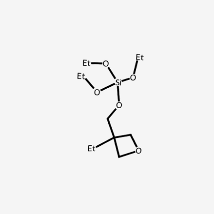 CCO[Si](OCC)(OCC)OCC1(CC)COC1